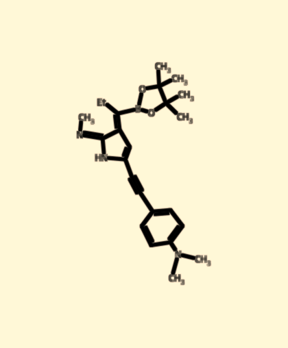 CC/C(B1OC(C)(C)C(C)(C)O1)=C1/C=C(C#Cc2ccc(N(C)C)cc2)N/C1=N/C